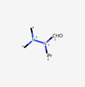 CC(C)N(C=O)N(C)C